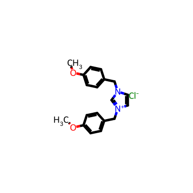 COc1ccc(Cn2cc[n+](Cc3ccc(OC)cc3)c2)cc1.[Cl-]